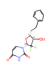 O=c1ccn([C@@H]2O[C@H](CCc3ccccc3)[C@@H](O)C2(F)F)c(=O)[nH]1